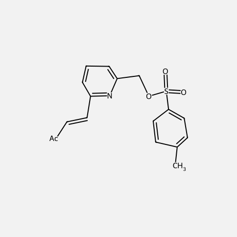 CC(=O)C=Cc1cccc(COS(=O)(=O)c2ccc(C)cc2)n1